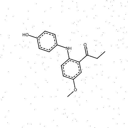 CCC(=O)c1cc(OC)ccc1Nc1ccc(O)cc1